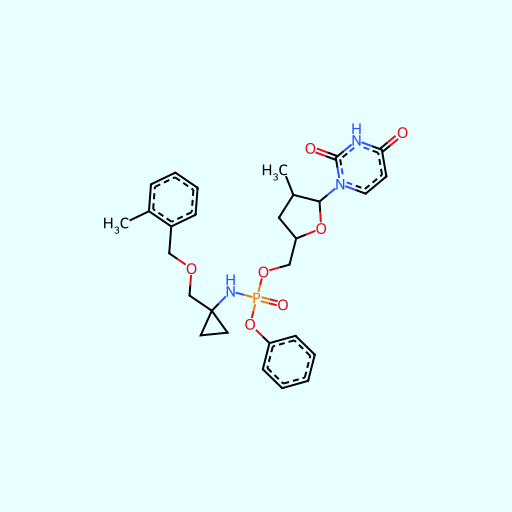 Cc1ccccc1COCC1(NP(=O)(OCC2CC(C)C(n3ccc(=O)[nH]c3=O)O2)Oc2ccccc2)CC1